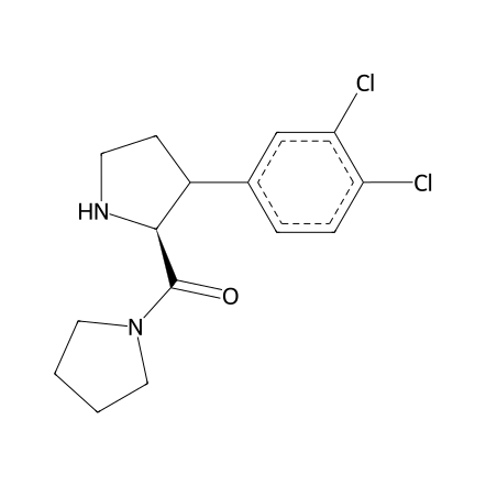 O=C([C@H]1NCCC1c1ccc(Cl)c(Cl)c1)N1CCCC1